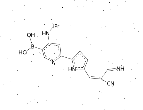 CC(C)Nc1cc(-c2ccc(/C=C(/C#N)C=N)[nH]2)ncc1B(O)O